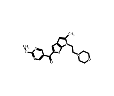 COc1ncc(C(=O)c2cc3cc(C)n(CCN4CCOCC4)c3s2)cn1